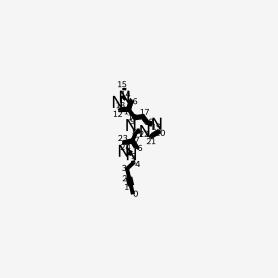 CC#CCCn1cc(-c2nc(-c3cnn(C)c3)cc3nccn23)cn1